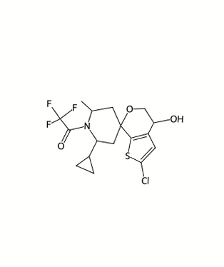 CC1CC2(CC(C3CC3)N1C(=O)C(F)(F)F)OCC(O)c1cc(Cl)sc12